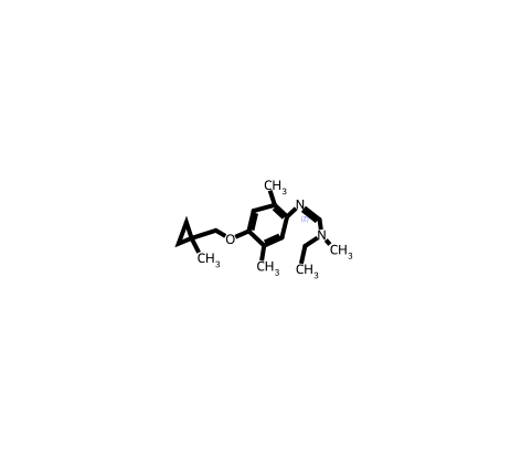 CCN(C)/C=N\c1cc(C)c(OCC2(C)CC2)cc1C